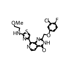 COCCNc1nc(-c2nccc3c(=O)[nH]c(COc4ccc(F)c(Cl)c4)nc23)cs1